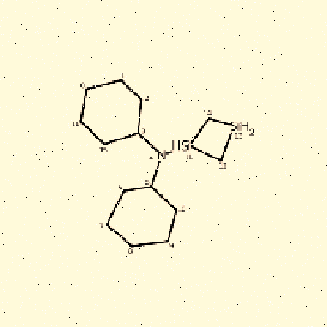 C1CCC(N(C2CCCCC2)[SiH]2C[SiH2]C2)CC1